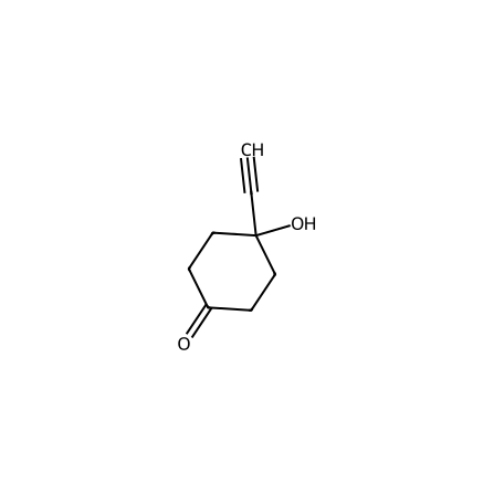 C#CC1(O)CCC(=O)CC1